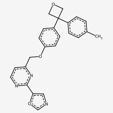 Cc1ccc(C2(c3ccc(OCc4ccnc(-c5cnco5)n4)cc3)COC2)cc1